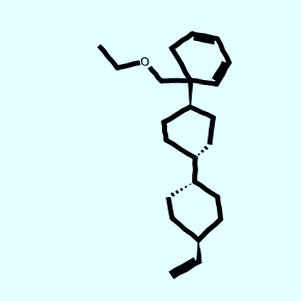 C=C[C@H]1CC[C@H]([C@H]2CC[C@H](C3(COCC)C=CC=CC3)CC2)CC1